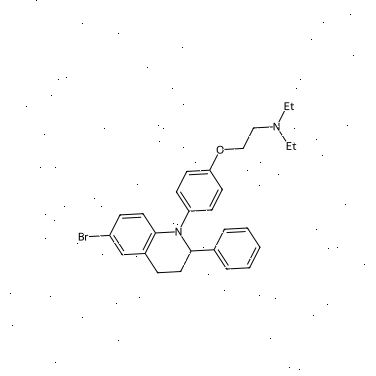 CCN(CC)CCOc1ccc(N2c3ccc(Br)cc3CCC2c2ccccc2)cc1